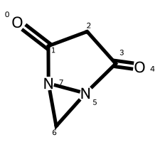 O=C1CC(=O)N2CN12